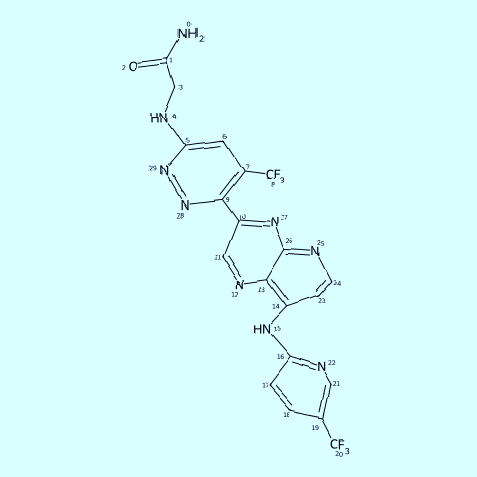 NC(=O)CNc1cc(C(F)(F)F)c(-c2cnc3c(Nc4ccc(C(F)(F)F)cn4)ccnc3n2)nn1